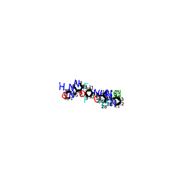 Nc1nccc(Oc2c(F)cc(NC(=O)c3cnn(-c4ncccc4Cl)c3C(F)(F)F)cc2F)c1CN1CCOCC1